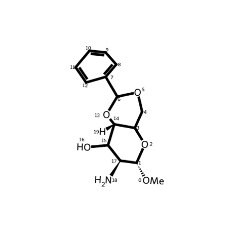 CO[C@H]1OC2COC(c3ccccc3)O[C@H]2C(O)[C@@H]1N